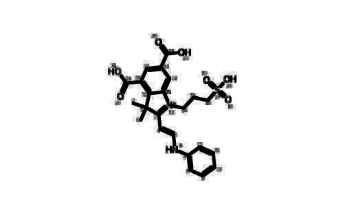 CC1(C)C(/C=C/Nc2ccccc2)=[N+](CCCS(=O)(=O)O)c2cc(C(=O)O)cc(C(=O)O)c21